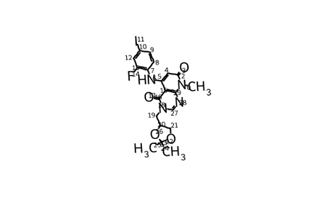 Cn1c(=O)cc(Nc2ccc(I)cc2F)c2c(=O)n(CC3COC(C)(C)O3)cnc21